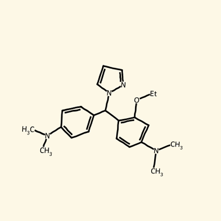 CCOc1cc(N(C)C)ccc1C(c1ccc(N(C)C)cc1)n1cccn1